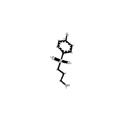 O=S(=O)(CCCS)c1ccc(Br)cc1